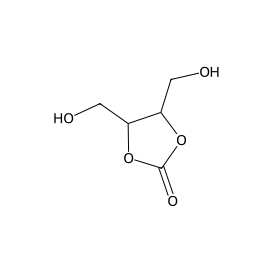 O=C1OC(CO)C(CO)O1